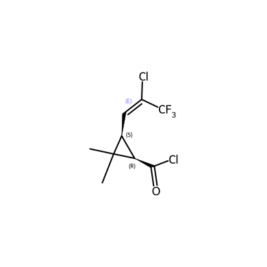 CC1(C)[C@H](C(=O)Cl)[C@@H]1/C=C(/Cl)C(F)(F)F